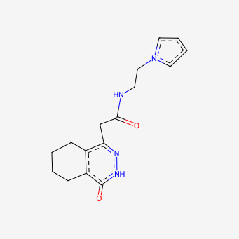 O=C(Cc1n[nH]c(=O)c2c1CCCC2)NCCn1cccc1